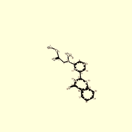 CN(CC(=O)OC(C)(C)C)c1cncc(-c2nc(=O)c3ccccc3s2)n1